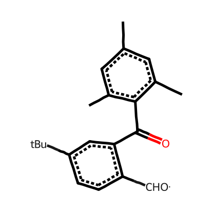 Cc1cc(C)c(C(=O)c2cc(C(C)(C)C)ccc2[C]=O)c(C)c1